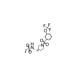 C=CS(=O)(=O)NC[C@H]1CCN(S(=O)(=O)c2cccc(OC(F)(F)F)c2)C1